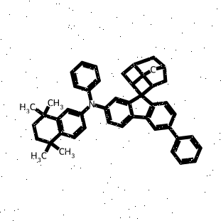 CC1(C)CCC(C)(C)c2cc(N(c3ccccc3)c3ccc4c(c3)C3(c5ccc(-c6ccccc6)cc5-4)C4CC5CC6CC3C64C5)ccc21